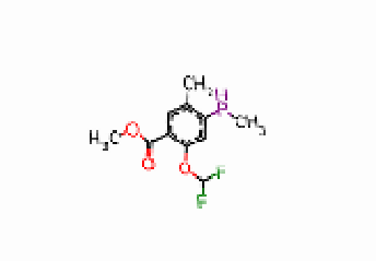 COC(=O)c1cc(C)c(PC)cc1OC(F)F